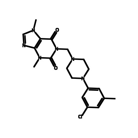 Cc1cc(Cl)cc(N2CCN(Cn3c(=O)c4c(ncn4C)n(C)c3=O)CC2)c1